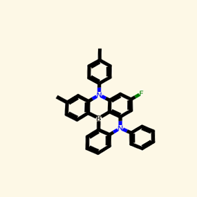 Cc1ccc(N2c3cc(C)ccc3B3c4ccccc4N(c4ccccc4)c4cc(F)cc2c43)cc1